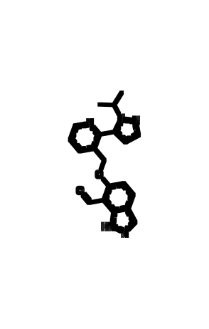 CC(C)n1nccc1-c1ncccc1COc1ccc2cn[nH]c2c1C=O